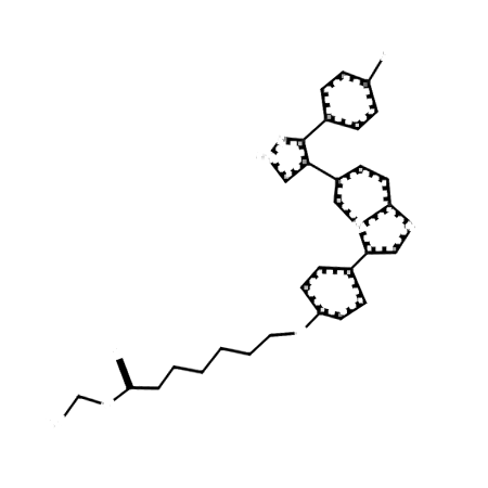 CCOC(=O)CCCCCCOc1ccc(-c2cnc3ccc(-c4c[nH]nc4-c4ccc(F)cc4)cn23)cc1